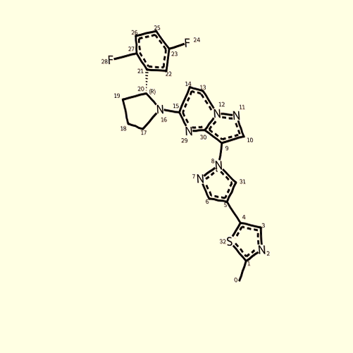 Cc1ncc(-c2cnn(-c3cnn4ccc(N5CCC[C@@H]5c5cc(F)ccc5F)nc34)c2)s1